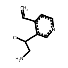 C=Cc1ccncc1C(Cl)CN